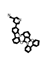 N#Cc1cncc(-c2ccc3c4ccccc4n(-c4cccc5c4C(=O)N(c4ccccc4-c4ccccc4)C5=O)c3c2)c1